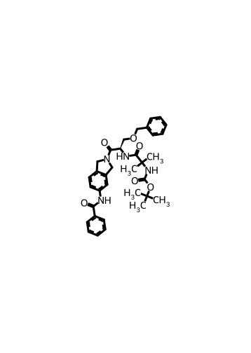 CC(C)(C)OC(=O)NC(C)(C)C(=O)N[C@H](COCc1ccccc1)C(=O)N1Cc2ccc(NC(=O)c3ccccc3)cc2C1